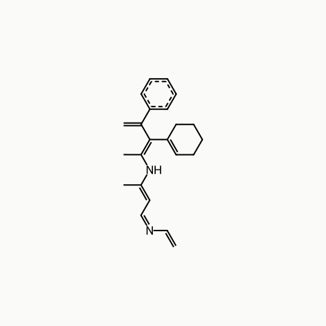 C=C/N=C\C=C(/C)N/C(C)=C(/C(=C)c1ccccc1)C1=CCCCC1